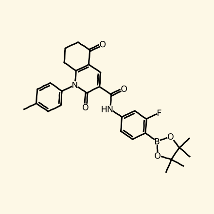 Cc1ccc(-n2c3c(cc(C(=O)Nc4ccc(B5OC(C)(C)C(C)(C)O5)c(F)c4)c2=O)C(=O)CCC3)cc1